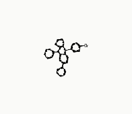 Brc1ccc(-c2c3ccccc3c(-c3ccccc3)c3cc(-c4ccccc4)ccc23)cc1